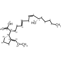 CCCCC[C@H](O)/C=C\C/C=C/CC[C@H](C(=O)O)[C@H]1CCCC1=COC